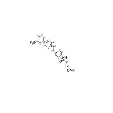 COCCCC(=O)N[C@H]1CC[C@H](CCN2CC=C(c3cccc(C(F)(F)F)c3)CC2)CC1